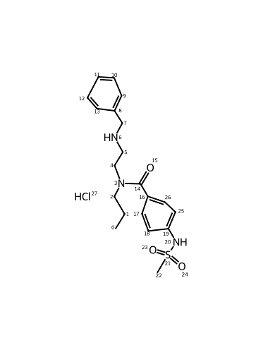 CCCN(CCNCc1ccccc1)C(=O)c1ccc(NS(C)(=O)=O)cc1.Cl